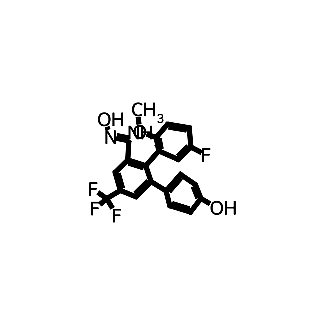 COc1ccc(F)cc1-c1c(/C(N)=N/O)cc(C(F)(F)F)cc1-c1ccc(O)cc1